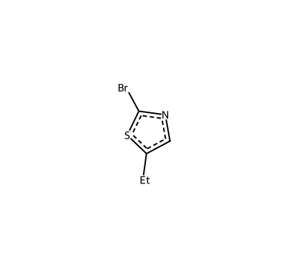 CCc1cnc(Br)s1